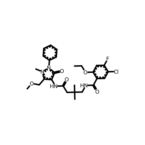 CCOc1cc(F)c(Cl)cc1C(=O)NCC(C)(C)CC(=O)Nc1c(COC)n(C)n(-c2ccccc2)c1=O